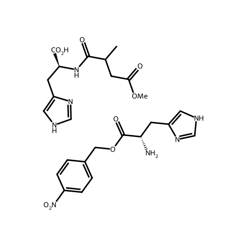 COC(=O)CC(C)C(=O)N[C@@H](Cc1c[nH]cn1)C(=O)O.N[C@@H](Cc1c[nH]cn1)C(=O)OCc1ccc([N+](=O)[O-])cc1